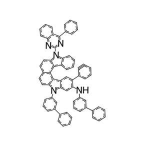 c1cccc(-c2cc3c4c5c(ccc4n(-c4cccc(-c6ccccc6)c4)c3cc2Nc2cccc(-c3ccccc3)c2)ccc2c5c3ccccc3n2-c2nc(-c3ccccc3)c3ccccc3n2)c#1